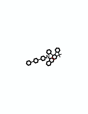 CC1(C)c2ccccc2-c2c(-c3ccccc3N(c3ccc(-c4ccc(-c5ccccc5)cc4)cc3)c3cccc4ccccc34)cccc21